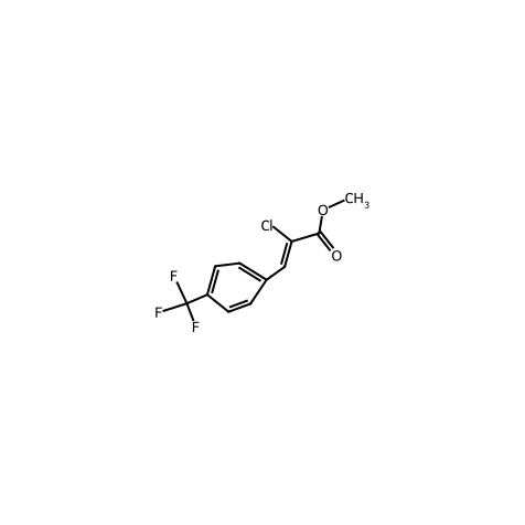 COC(=O)/C(Cl)=C/c1ccc(C(F)(F)F)cc1